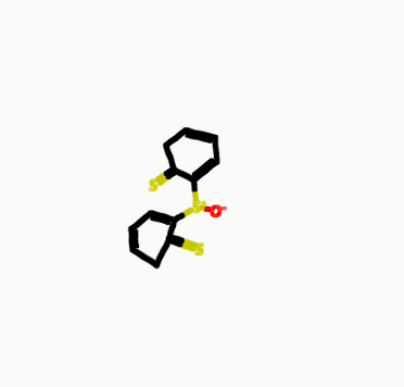 [O-][S+](C1=CC=CCC1=S)C1=CC=CCC1=S